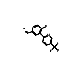 O=Cc1ccc(F)c(-c2ccc(C(F)(F)F)cn2)c1